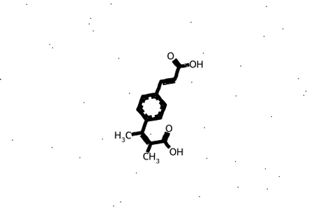 CC(C(=O)O)=C(C)c1ccc(C=CC(=O)O)cc1